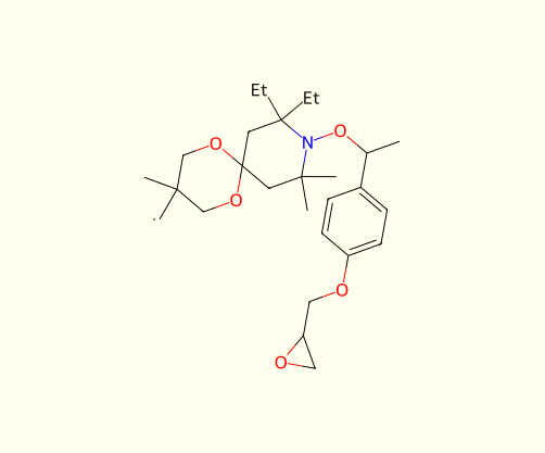 [CH2]C1(C)COC2(CC(C)(C)N(OC(C)c3ccc(OCC4CO4)cc3)C(CC)(CC)C2)OC1